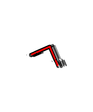 [Co+2].[Co+2].[Co+2].[Co+2].[Co+2].[Co+2].[Co+2].[Co+2].[Co+2].[Co+2].[Co+2].[Co+2].[Co+2].[Co+2].[Co+2].[O-2].[O-2].[O-2].[O-2].[O-2].[O-2].[O-2].[O-2].[O-2].[O-2].[O-2].[O-2].[O-2].[O-2].[O-2].[O-2].[O-2].[O-2].[O-2].[O-2].[O-2].[O-2].[O-2].[O-2].[O-2].[O-2].[O-2].[O-2].[O-2].[O-2].[O-2].[O-2].[O-2].[O-2].[O-2].[O-2].[O-2].[O-2].[O-2].[O-2]